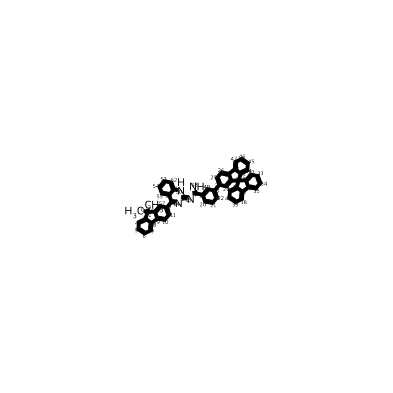 CC1(C)c2ccccc2-c2ccc(-c3n/c(=N/C(=N)c4cccc(-c5ccc6c(c5)C5(c7ccccc7-c7ccccc75)c5ccccc5-6)c4)[nH]c4ccccc34)cc21